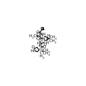 CC(C)(C)OC(=O)N(C[C@@H]1CCNC1=O)NC(=O)[C@@H]1[C@@H]2[C@H](CN1C(=O)C(NC(=O)C13CC(C1)C3)C(C)(C)C)C2(C)C